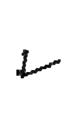 C=C(CCCCCCCCCCCCCCCC)NCCCCCCCP(=C)(C)C